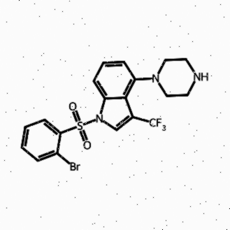 O=S(=O)(c1ccccc1Br)n1cc(C(F)(F)F)c2c(N3CCNCC3)cccc21